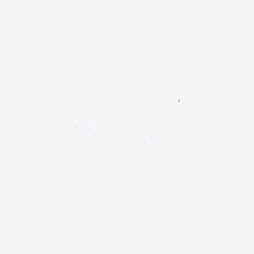 CC(C)C1CCC(NC(C)(C)CCC(C)(C)C2CN(C(C)(C)C)C2)CC1